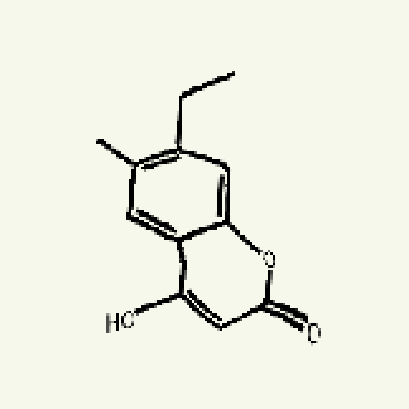 CCc1cc2oc(=O)cc(O)c2cc1C